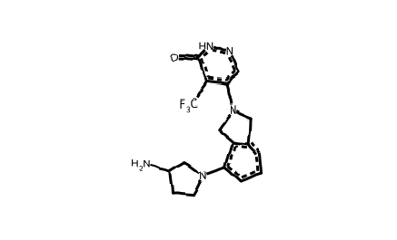 NC1CCN(c2cccc3c2CN(c2cn[nH]c(=O)c2C(F)(F)F)C3)C1